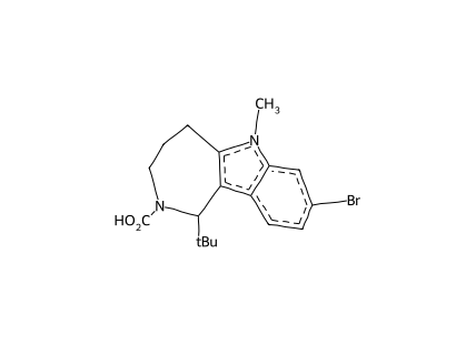 Cn1c2c(c3ccc(Br)cc31)C(C(C)(C)C)N(C(=O)O)CCC2